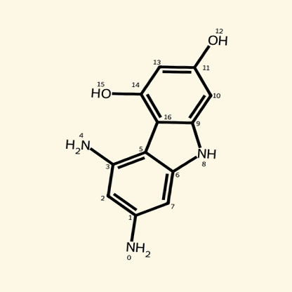 Nc1cc(N)c2c(c1)[nH]c1cc(O)cc(O)c12